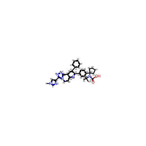 Cn1cnc(-c2nnc3c4cc(-c5ccccc5)c(-c5ccc(C6(N(C(=O)O)C(C)(C)C)CCCC6)cc5)nc4ccn23)c1